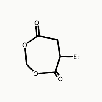 CCC1CC(=O)OCOC1=O